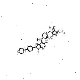 Cc1nn(C)c(C)c1CN1CCC(Nc2c(Cl)cnc3[nH]c(-c4ccc(N5CCOCC5)cc4)nc23)CC1